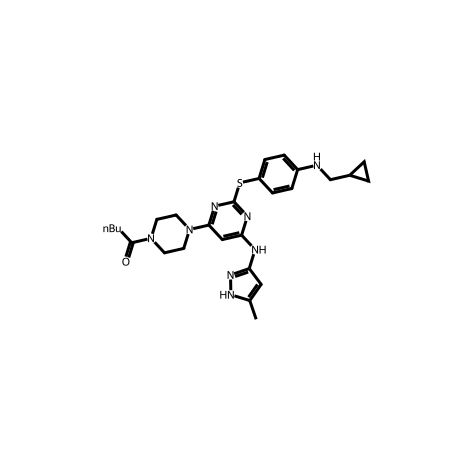 CCCCC(=O)N1CCN(c2cc(Nc3cc(C)[nH]n3)nc(Sc3ccc(NCC4CC4)cc3)n2)CC1